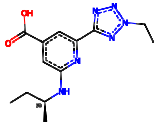 CC[C@H](C)Nc1cc(C(=O)O)cc(-c2nnn(CC)n2)n1